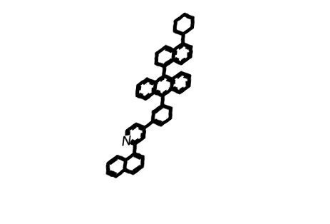 C1=CC2C=CC=C(c3cc(C4=CCCC(c5c6ccccc6c(C6=c7cccc(C8CCCCC8)c7=CCC6)c6ccccc56)=C4)ccn3)C2C=C1